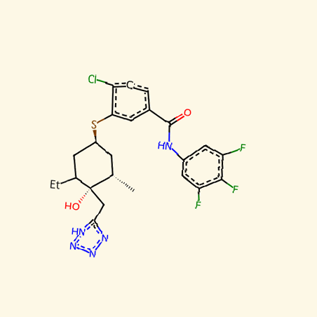 CCC1C[C@@H](Sc2cc(C(=O)Nc3cc(F)c(F)c(F)c3)ccc2Cl)C[C@H](C)[C@@]1(O)Cc1nnn[nH]1